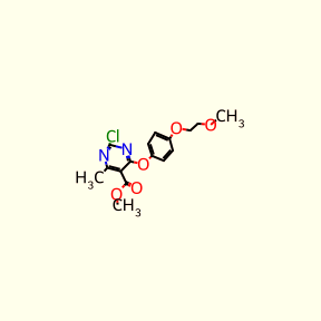 COCCOc1ccc(Oc2nc(Cl)nc(C)c2C(=O)OC)cc1